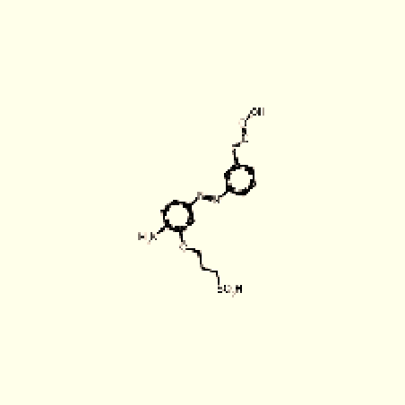 Nc1ccc(N=Nc2cccc(SOOO)c2)cc1OCCCS(=O)(=O)O